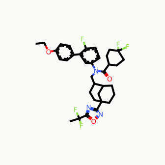 CCOc1ccc(-c2cc(N(CC3CCC4(c5noc(C(C)(F)F)n5)CCCC3C4)C(=O)C3CCC(F)(F)CC3)ccc2F)cc1